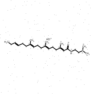 CC/C=C/CC/C(C)=C/CC/C(C)=C/CC/C(C)=C/C(=O)NCCN(C)C.Cl